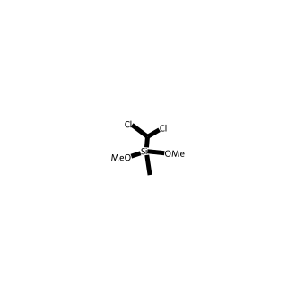 CO[Si](C)(OC)C(Cl)Cl